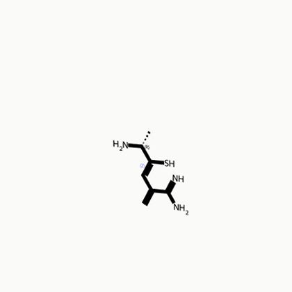 C=C(/C=C(\S)[C@@H](C)N)C(=N)N